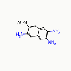 CNc1cc2cc(N)c(N)cc2cc1N